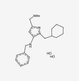 CNCc1cc(NCc2ccccc2)n(CC2CCCCC2)n1.Cl.Cl